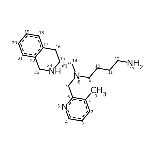 Cc1cccnc1CN(CCCCN)C[C@H]1Cc2ccccc2CN1